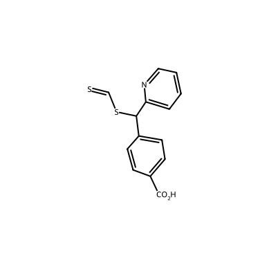 O=C(O)c1ccc(C(SC=S)c2ccccn2)cc1